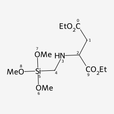 CCOC(=O)CC(NC[Si](OC)(OC)OC)C(=O)OCC